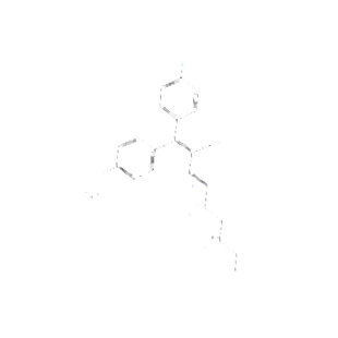 CC(C)C(/C=C/[C@@H](O)C[C@@H](O)CC(=O)[O-])=C(c1ccc(F)cc1)c1ccc(F)cc1.[Na+]